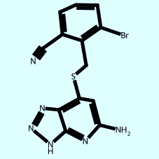 N#Cc1cccc(Br)c1CSc1cc(N)nc2[nH]nnc12